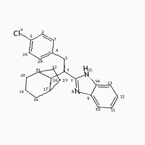 Clc1ccc(CC(c2nc3ccccc3[nH]2)C2C3CCCC2CC3)cc1